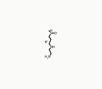 C[SiH]([O-])CCCNCCN.[K+]